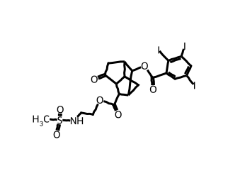 CS(=O)(=O)NCCOC(=O)C1C2CC3C(CC(=O)C31)C2OC(=O)c1cc(I)cc(I)c1I